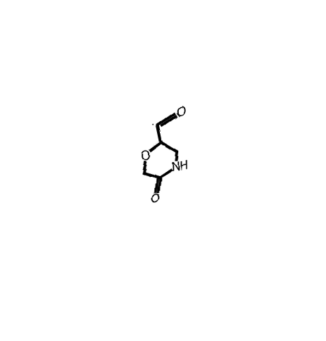 O=[C]C1CNC(=O)CO1